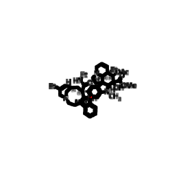 CCNC(=O)[C@]1(c2cc3c(cc2OC)N(C)[C@H]2C(O)(C(=O)OC)[C@H](OC(C)=O)[C@]4(CC)C=CCN5CCC32[C@@H]54)C[C@@H]2C=C(CC)CN(CCc3c1[nH]c1ccccc31)C2